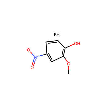 COc1cc([N+](=O)[O-])ccc1O.[KH]